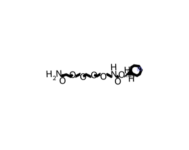 NC(=O)CCOCCOCCOCCOCCNC(=O)OC[C@@H]1[C@@H]2CC/C=C\CC[C@@H]21